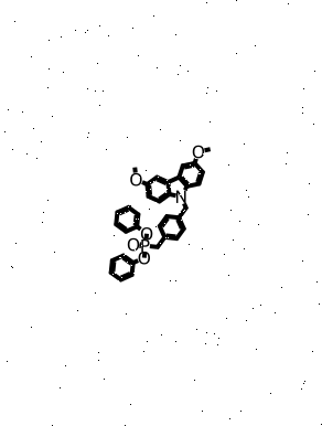 COc1ccc2c(c1)c1cc(OC)ccc1n2Cc1ccc(CP(=O)(Oc2ccccc2)Oc2ccccc2)cc1